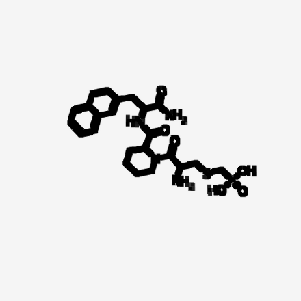 NC(=O)C(Cc1ccc2ccccc2c1)NC(=O)C1CCCCN1C(=O)C(N)CSCP(=O)(O)O